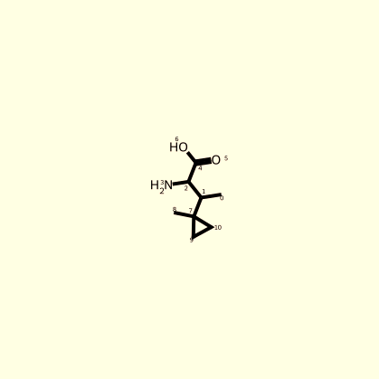 CC(C(N)C(=O)O)C1(C)CC1